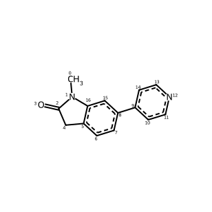 CN1C(=O)Cc2ccc(-c3ccncc3)cc21